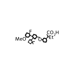 CC[C@@H](CC(=O)O)c1cccc(OCc2ccc(-c3cc(OC)ccc3F)c(C3=CCCC3(C)C)c2)c1